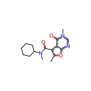 Cc1oc2ncn(C)c(=O)c2c1C(=O)N(C)C1CCCCC1